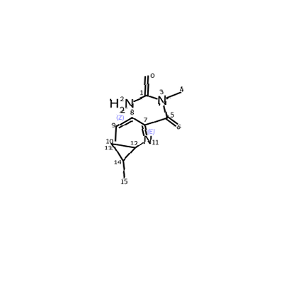 C=C(N)N(C)C(=C)C(/C=C\C)=N/C1CC1C